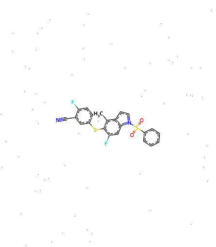 Cc1c(Sc2ccc(F)c(C#N)c2)c(F)cc2c1ccn2S(=O)(=O)c1ccccc1